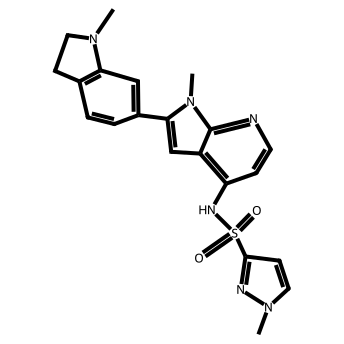 CN1CCc2ccc(-c3cc4c(NS(=O)(=O)c5ccn(C)n5)ccnc4n3C)cc21